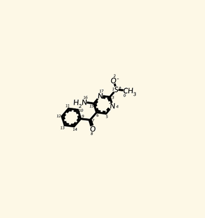 C[S+]([O-])c1ncc(C(=O)c2ccccc2)c(N)n1